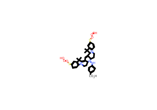 CC1(C)C2=C3C=C4C5=[N+](CCC4N(Nc4ccc(C(=O)O)cc4)C3CCN2c2ccc(SOOO)cc21)c1ccc(SOOO)cc1C5(C)C